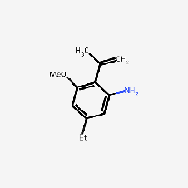 C=C(C)c1c(N)cc(CC)cc1OC